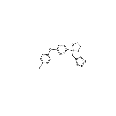 Fc1ccc(Oc2ccc(C3(Cn4cncn4)OCCO3)cc2)cc1